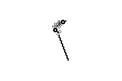 CCCCCCCCCCCCCCCCCCOC(=O)c1cccc(NC(=O)NS(=O)(=O)c2ccc(C)cc2)c1